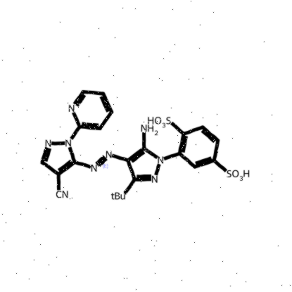 CC(C)(C)c1nn(-c2cc(S(=O)(=O)O)ccc2S(=O)(=O)O)c(N)c1/N=N/c1c(C#N)cnn1-c1ccccn1